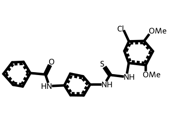 COc1cc(OC)c(NC(=S)Nc2ccc(NC(=O)c3ccccc3)cc2)cc1Cl